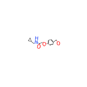 O=Cc1ccc(OCC(=O)NCC2CC2)cc1